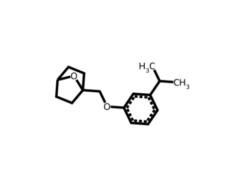 CC(C)c1cccc(OCC23CCC(CC2)O3)c1